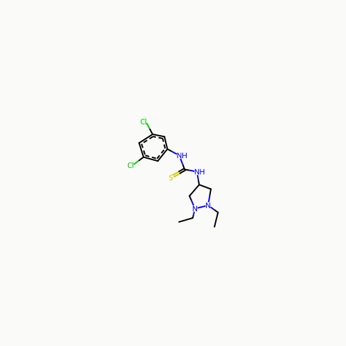 CCN1CC(NC(=S)Nc2cc(Cl)cc(Cl)c2)CN1CC